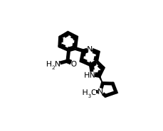 CN1CCC[C@@H]1c1cc2cnc(-c3ccccc3C(N)=O)cc2[nH]1